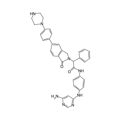 Nc1cc(Nc2ccc(NC(=O)C(c3ccccc3)N3Cc4cc(-c5ccc(N6CCNCC6)cc5)ccc4C3=O)cc2)ncn1